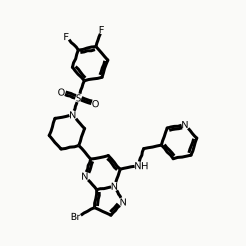 O=S(=O)(c1ccc(F)c(F)c1)N1CCCC(c2cc(NCc3cccnc3)n3ncc(Br)c3n2)C1